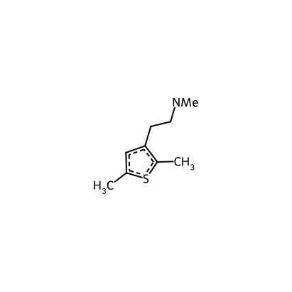 CNCCc1cc(C)sc1C